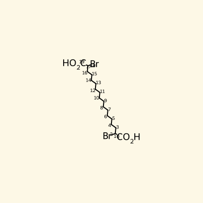 O=C(O)C(Br)CCCCCCCCCCCCCCC(Br)C(=O)O